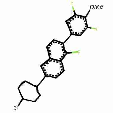 CCC1CCC(c2ccc3c(F)c(-c4cc(F)c(OC)c(F)c4)ccc3c2)CC1